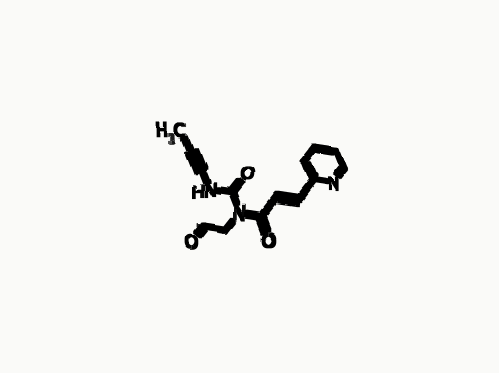 CC#CNC(=O)N(C[C]=O)C(=O)C=Cc1ccccn1